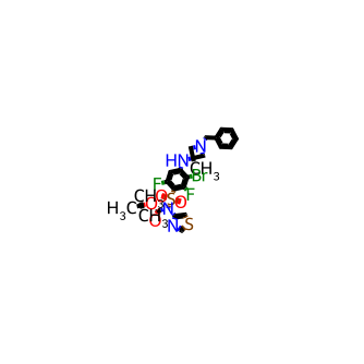 CC1(Nc2cc(F)c(S(=O)(=O)N(C(=O)OC(C)(C)C)c3cscn3)c(F)c2Br)CN(Cc2ccccc2)C1